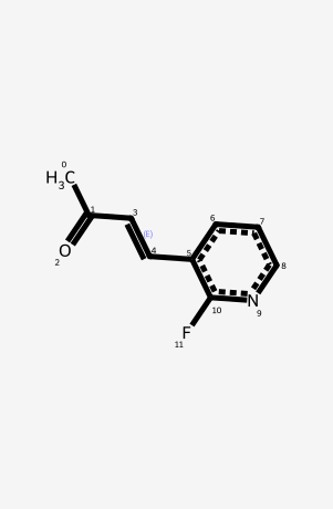 CC(=O)/C=C/c1cccnc1F